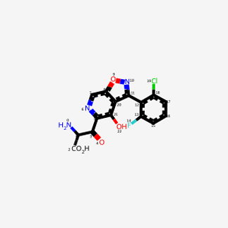 NC(C(=O)O)C(=O)c1ncc2onc(-c3c(F)cccc3Cl)c2c1O